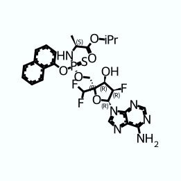 CC(C)OC(=O)[C@H](C)NP(=S)(OC[C@@]1(C(F)F)O[C@@H](n2cnc3c(N)ncnc32)[C@H](F)[C@@H]1O)Oc1cccc2ccccc12